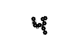 c1ccc(-c2ccc(N(c3cccc(-c4cccc5ccccc45)c3)c3ccc4c(c3)oc3ccc5nc(-c6ccccc6)sc5c34)cc2)cc1